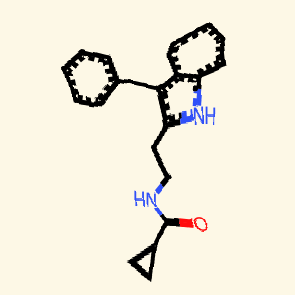 O=C(NCCc1[nH]c2ccccc2c1-c1ccccc1)C1CC1